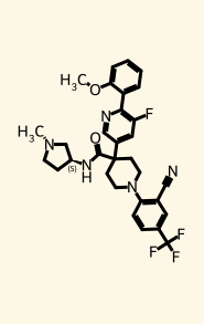 COc1ccccc1-c1ncc(C2(C(=O)N[C@H]3CCN(C)C3)CCN(c3ccc(C(F)(F)F)cc3C#N)CC2)cc1F